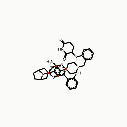 Nc1nnc(-c2ccccc2O)cc1N1CC2CCC(C1)N2c1ncc(C2CCN(Cc3ccccc3NC3CCC(=O)NC3=O)CC2)cn1